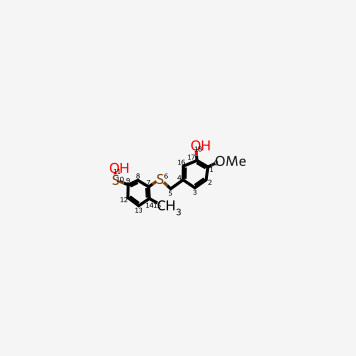 COc1ccc(CSc2cc(SO)ccc2C)cc1O